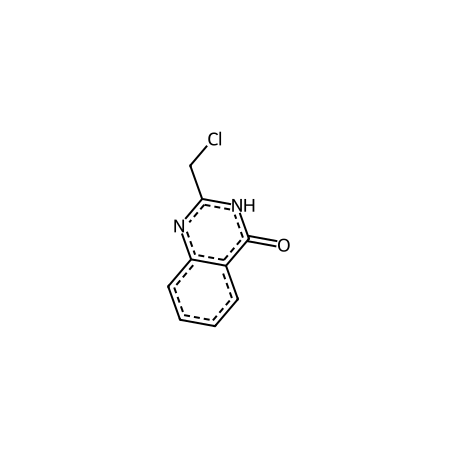 O=c1[nH]c(CCl)nc2ccccc12